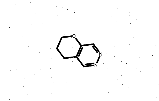 [c]1nncc2c1OCCC2